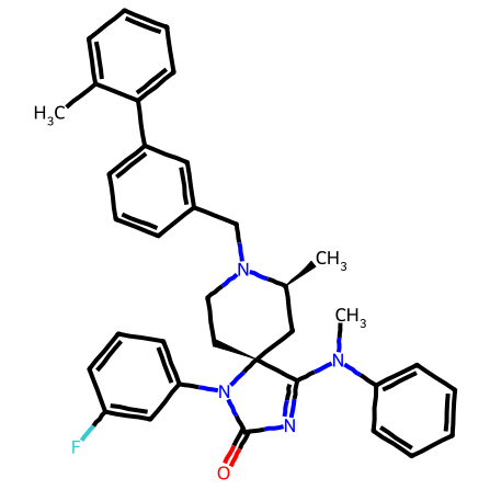 Cc1ccccc1-c1cccc(CN2CC[C@@]3(C[C@@H]2C)C(N(C)c2ccccc2)=NC(=O)N3c2cccc(F)c2)c1